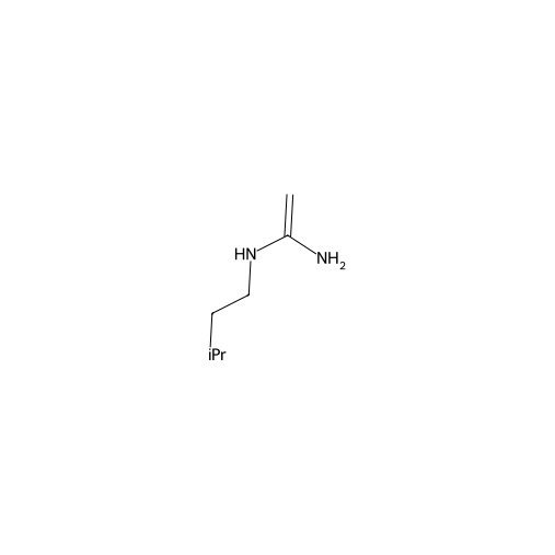 C=C(N)NCCC(C)C